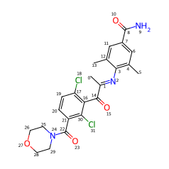 C/C(=N\c1c(C)cc(C(N)=O)cc1C)C(=O)c1c(Cl)ccc(C(=O)N2CCOCC2)c1Cl